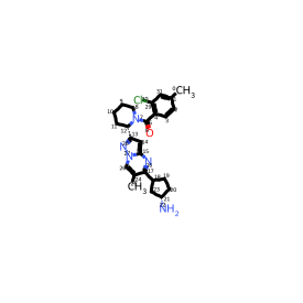 Cc1ccc(C(=O)N2CCCC[C@H]2c2cc3nc(C4CC[C@H](N)C4)c(C)cn3n2)c(Cl)c1